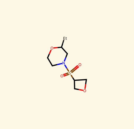 CCC1CN(S(=O)(=O)C2COC2)CCO1